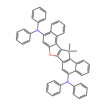 C[Si]1(C)c2c(cc(N(c3ccccc3)c3ccccc3)c3ccccc23)-c2oc3cc(N(c4ccccc4)c4ccccc4)c4ccccc4c3c21